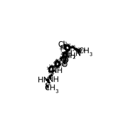 CSCC(=N)NCC[C@@H]1CCC[C@@H](c2ccc(-n3cc4cc(-c5cc(CCC[C@H](C)N)cc(Cl)c5F)[nH]c4nc3=O)cc2)N1